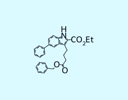 CCOC(=O)c1[nH]c2ccc(-c3ccccc3)cc2c1CCCC(=O)OCc1ccccc1